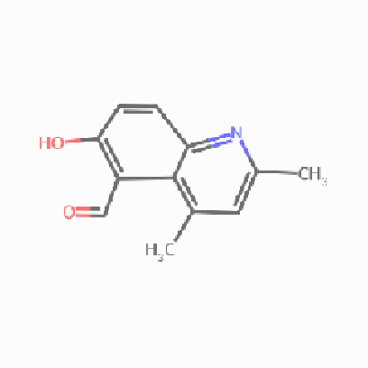 Cc1cc(C)c2c(C=O)c(O)ccc2n1